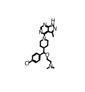 Cc1n[nH]c2ncnc(N3CCC(C(OCCN(C)C)c4ccc(Cl)cc4)CC3)c12